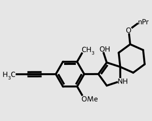 CC#Cc1cc(C)c(C2=C(O)C3(CCCC(OCCC)C3)NC2)c(OC)c1